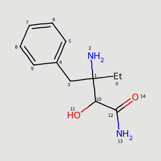 CCC(N)(Cc1ccccc1)C(O)C(N)=O